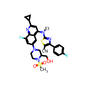 CCN(c1nc(-c2ccc(F)cc2)c(C#N)s1)c1cc(C2CC2)nc2c(F)cc(N3CCN(S(C)(=O)=O)C(CO)C3)cc12